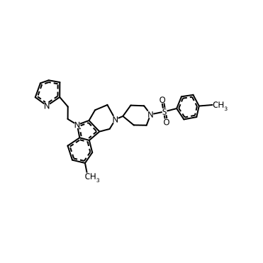 Cc1ccc(S(=O)(=O)N2CCC(N3CCc4c(c5cc(C)ccc5n4CCc4ccccn4)C3)CC2)cc1